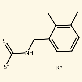 Cc1cccc(CNC(=S)[S-])c1C.[K+]